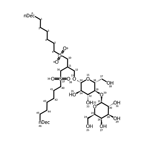 CCCCCCCCCCCCCCCCS(=O)(=O)CC(CO[C@@H]1O[C@H](CO)[C@@H](O[C@@H]2O[C@H](CO)[C@H](O)[C@H](O)[C@H]2O)[C@H](O)[C@H]1O)CS(=O)(=O)CCCCCCCCCCCCCCCC